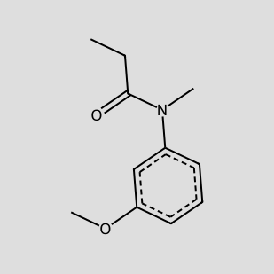 CCC(=O)N(C)c1cccc(OC)c1